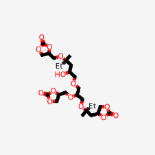 CCC(C)(CC(O)COCC(COC(C)(CC)CC1COC(=O)O1)OCC1COC(=O)O1)OCC1COC(=O)O1